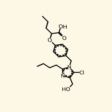 CCCCc1nc(CO)c(Cl)n1Cc1ccc(OC(CCC)C(=O)O)cc1